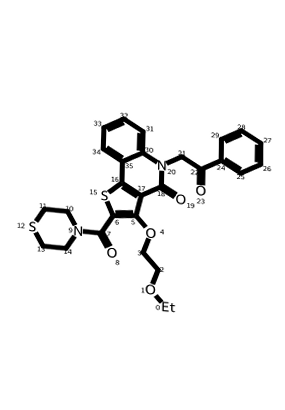 CCOCCOc1c(C(=O)N2CCSCC2)sc2c1c(=O)n(CC(=O)c1ccccc1)c1ccccc21